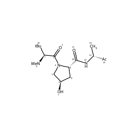 CN[C@H](C(=O)N1C[C@H](O)C[C@H]1C(=O)N[C@H](C)C(C)=O)C(C)(C)C